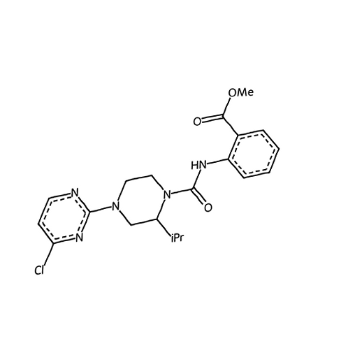 COC(=O)c1ccccc1NC(=O)N1CCN(c2nccc(Cl)n2)CC1C(C)C